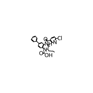 CCCC(F)N(C(=O)O)c1ccc(-c2ccccc2)cc1NC(=O)c1ccc(Cl)nc1